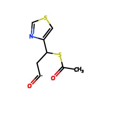 CC(=O)SC(C[C]=O)c1cscn1